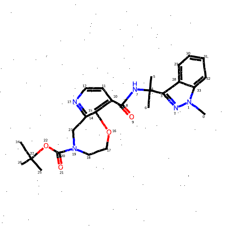 Cn1nc(C(C)(C)NC(=O)c2ccnc3c2OCCN(C(=O)OC(C)(C)C)C3)c2ccccc21